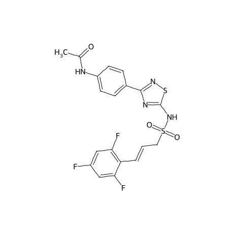 CC(=O)Nc1ccc(-c2nsc(NS(=O)(=O)CC=Cc3c(F)cc(F)cc3F)n2)cc1